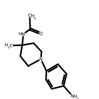 CC(=O)NC1(C)CCN(c2ccc(N)cc2)CC1